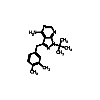 Cc1ccc(Cc2nn(C(C)(C)C)c3ncnc(N)c23)cc1C